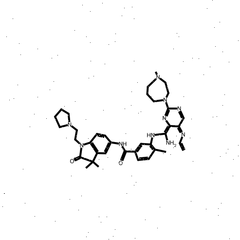 C=C/N=C1/C=NC(N2CCCN(C)CC2)=N/C1=C(/N)Nc1cc(C(=O)Nc2ccc3c(c2)C(C)(C)C(=O)N3CCN2CCCC2)ccc1C